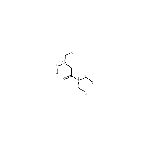 CCP(CC)CC(=O)P(CC)CC